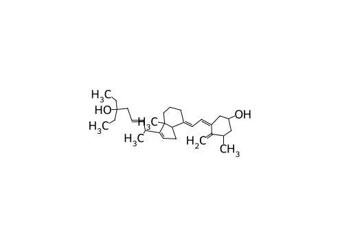 C=C1/C(=C\C=C2/CCCC3(C)C(C(C)/C=C/CC(O)(CC)CC)=CCC23)CC(O)CC1C